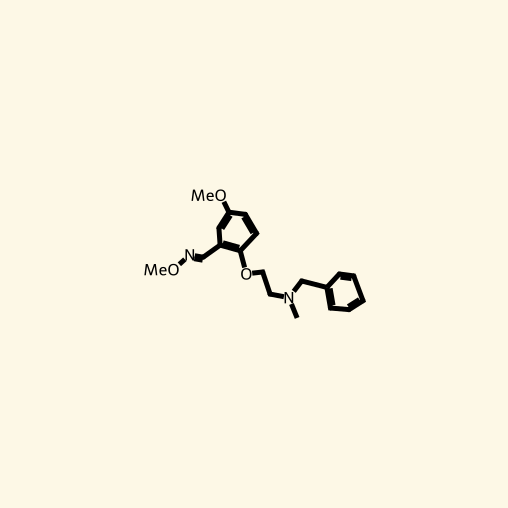 CON=Cc1cc(OC)ccc1OCCN(C)Cc1ccccc1